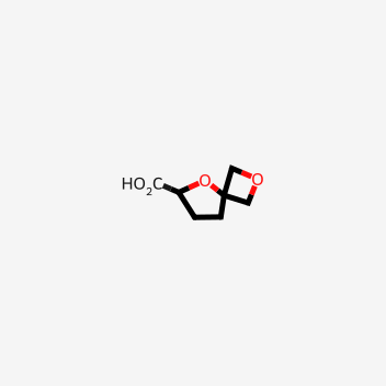 O=C(O)C1CCC2(COC2)O1